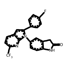 O=C1Cc2cc(-n3c(-c4ccc(F)cc4)cc4ccc(C(F)(F)F)nc43)ccc2N1